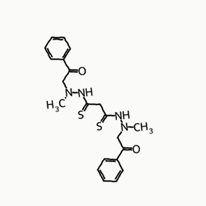 CN(CC(=O)c1ccccc1)NC(=S)CC(=S)NN(C)CC(=O)c1ccccc1